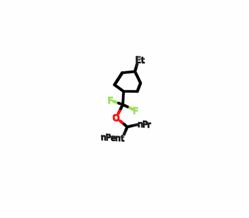 CCCCCC(CCC)OC(F)(F)C1CCC(CC)CC1